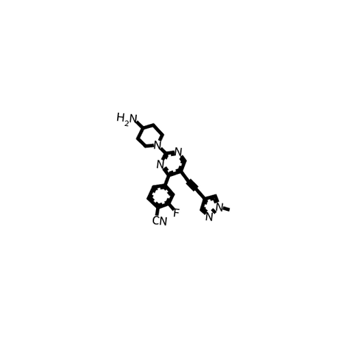 Cn1cc(C#Cc2cnc(N3CCC(N)CC3)nc2-c2ccc(C#N)c(F)c2)cn1